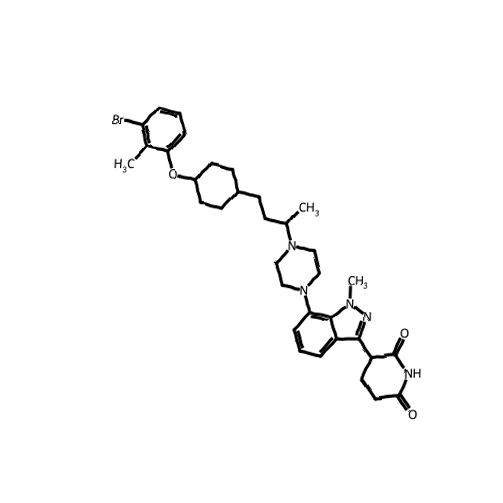 Cc1c(Br)cccc1OC1CCC(CCC(C)N2CCN(c3cccc4c(C5CCC(=O)NC5=O)nn(C)c34)CC2)CC1